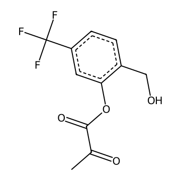 CC(=O)C(=O)Oc1cc(C(F)(F)F)ccc1CO